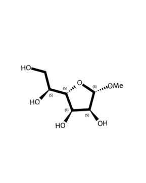 CO[C@H]1O[C@@H]([C@@H](O)CO)[C@H](O)[C@@H]1O